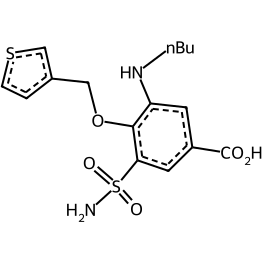 CCCCNc1cc(C(=O)O)cc(S(N)(=O)=O)c1OCc1ccsc1